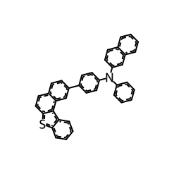 c1ccc(N(c2ccc(-c3ccc4ccc5sc6ccccc6c5c4c3)cc2)c2ccc3ccccc3c2)cc1